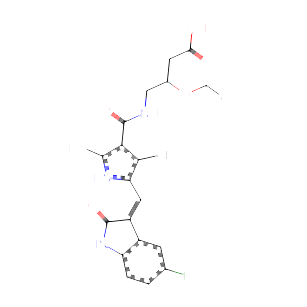 CCOC(CNC(=O)c1c(C)[nH]c(/C=C2\C(=O)Nc3ccc(F)cc32)c1C)CC(=O)O